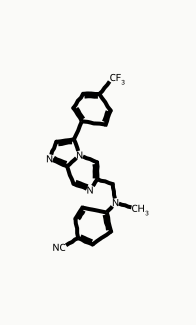 CN(Cc1cn2c(-c3ccc(C(F)(F)F)cc3)cnc2cn1)c1ccc(C#N)cc1